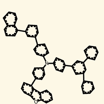 c1ccc(-c2cc(-c3ccccc3)cc(-c3ccc(N(c4ccc(-c5cccc(-c6cccc7ccccc67)c5)cc4)c4ccc(-c5cccc6oc7ccccc7c56)cc4)cc3)c2)cc1